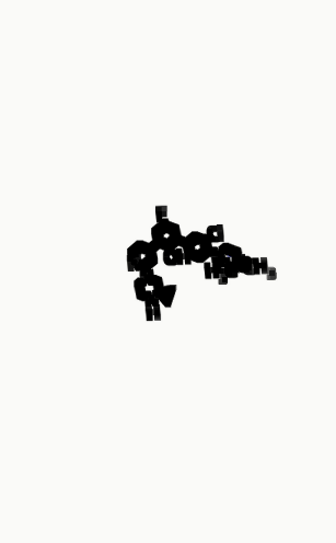 CN(C)/C=C\N(C=O)c1ccc(-c2cc(F)cc(-c3ccnc(N4CCNC5(CC5)C4)c3)c2O)cc1Cl